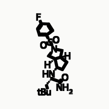 CC(C)(C)C[C@H](N[C@H]1CC[C@@H]2CN(S(=O)(=O)c3ccc(F)cc3)C[C@@H]21)C(N)=O